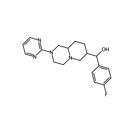 OC(c1ccc(F)cc1)C1CCC2CN(c3ncccn3)CCN2C1